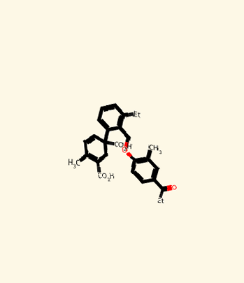 CCC(=O)c1ccc(OCc2c(CC)cccc2C2(C(=O)O)C=CC(C)=C(C(=O)O)C2)c(C)c1